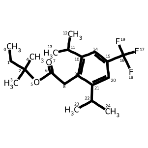 CCC(C)(C)OC(=O)Cc1c(C(C)C)cc(C(F)(F)F)cc1C(C)C